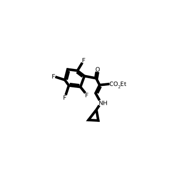 CCOC(=O)C(=CNC1CC1)C(=O)c1c(F)cc(F)c(F)c1F